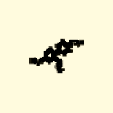 [N-]=[N+]=Nc1cc(C(=O)O)ccc1-c1ccc(C(=O)O)cc1